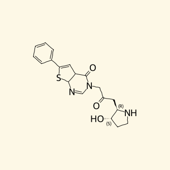 O=C(C[C@H]1NCC[C@@H]1O)CN1C=NC2SC(c3ccccc3)=CC2C1=O